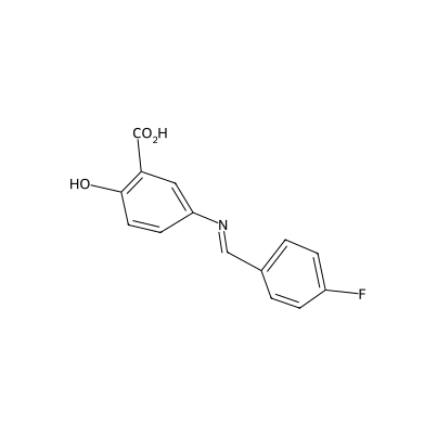 O=C(O)c1cc(N=Cc2ccc(F)cc2)ccc1O